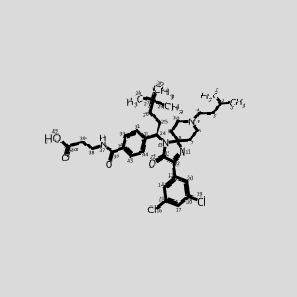 CC(C)CCN1CCC2(CC1)N=C(c1cc(Cl)cc(Cl)c1)C(=O)N2[C@H](CCC(C)(C)C)c1ccc(C(=O)NCCC(=O)O)cc1